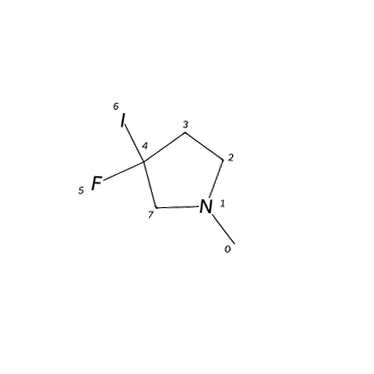 CN1CCC(F)(I)C1